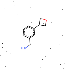 NCc1cccc(C2COC2)c1